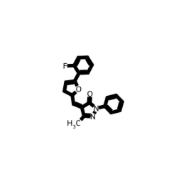 CC1=NN(c2ccccc2)C(=O)/C1=C\C1CC=C(c2ccccc2F)O1